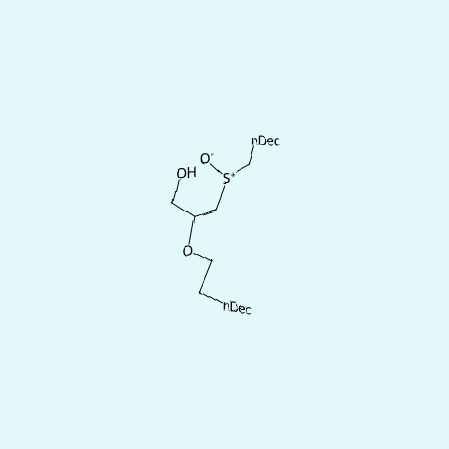 CCCCCCCCCCCCOC(CO)C[S+]([O-])CCCCCCCCCCC